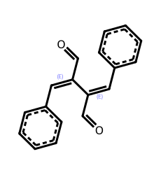 O=CC(=C/c1ccccc1)/C(C=O)=C\c1ccccc1